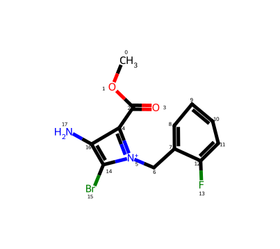 COC(=O)C1=[N+](Cc2ccccc2F)C(Br)=C1N